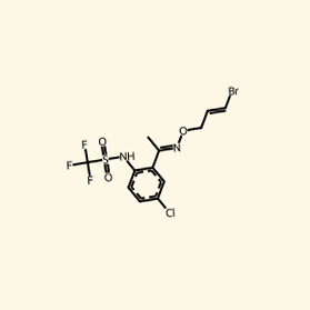 C/C(=N\OC/C=C/Br)c1cc(Cl)ccc1NS(=O)(=O)C(F)(F)F